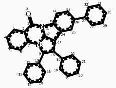 O=c1c2ccccc2n2c(-c3ccccc3)c(-c3ccccc3)c3c4cc(-c5ccccc5)ccc4n1c32